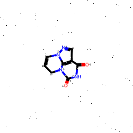 O=c1[nH]c(=O)n2c3c1cnn3C=CC2